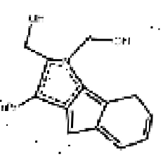 CCCc1c(CO)n(CO)c2c1=CC1=CC=CCC=21